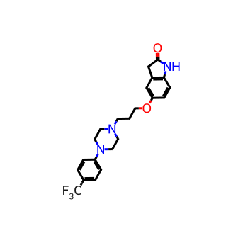 O=C1Cc2cc(OCCCN3CCN(c4ccc(C(F)(F)F)cc4)CC3)ccc2N1